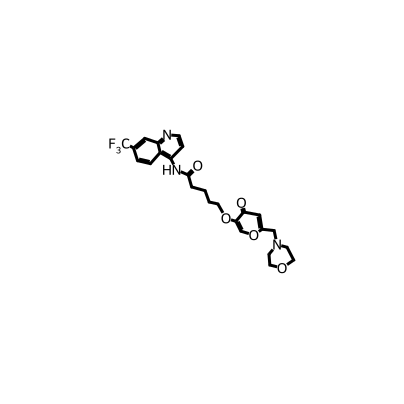 O=C(CCCCOc1coc(CN2CCOCC2)cc1=O)Nc1ccnc2cc(C(F)(F)F)ccc12